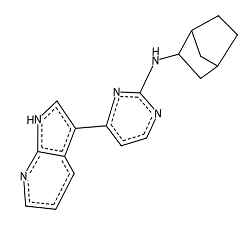 c1cnc2[nH]cc(-c3ccnc(NC4CC5CCC4C5)n3)c2c1